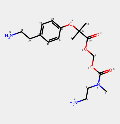 CN(CCN)C(=O)OCOC(=O)C(C)(C)Oc1ccc(CCN)cc1